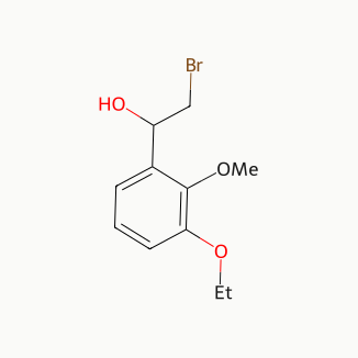 CCOc1cccc(C(O)CBr)c1OC